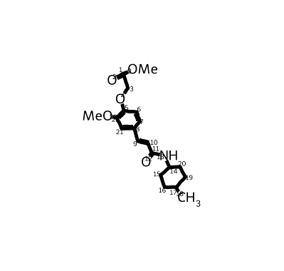 COC(=O)COc1ccc(/C=C/C(=O)NC2CCC(C)CC2)cc1OC